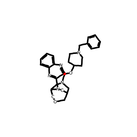 O=C(OC1CCN(Cc2ccccc2)CC1)N1CC2COCC(C1)N(c1cnc3ccccc3n1)C2